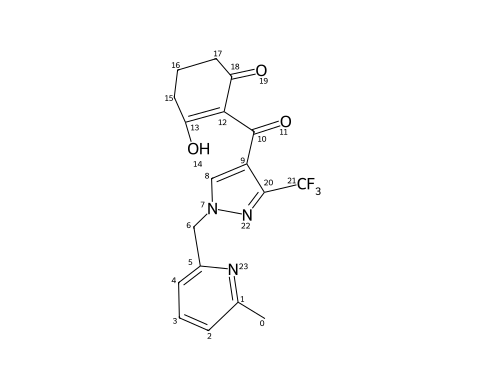 Cc1cccc(Cn2cc(C(=O)C3=C(O)CCCC3=O)c(C(F)(F)F)n2)n1